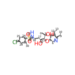 C=C(O)/C(Oc1cnc(=C/C)/c(=C\C)c1)=C(O)\C=C\NS(=O)(=O)c1ccc(Cl)cc1C